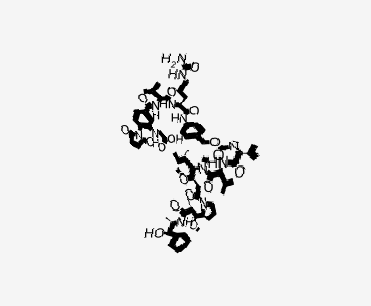 CC[C@H](C)[C@H]([C@@H](CC(=O)N1CCC[C@H]1[C@@H](OC)[C@@H](C)C(=O)N[C@@H](C)[C@H](O)c1ccccc1)OC)N(C)C(=O)[C@@H](NC(=O)[C@@H](C(C)C)N(C)C(=O)OCc1ccc(NC(=O)[C@H](CCCNC(N)=O)NC(=O)C(NC(=O)c2ccc(N3C(=O)C=CC3=O)c(NCC(=O)O)c2)C(C)C)cc1)C(C)C